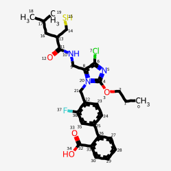 CCCOc1nc(Cl)c(CNC(=O)C(CS)CC(C)C)n1Cc1ccc(-c2ccccc2C(=O)O)cc1F